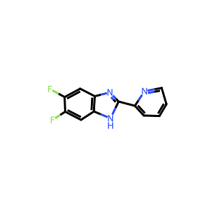 Fc1cc2nc(-c3ccccn3)[nH]c2cc1F